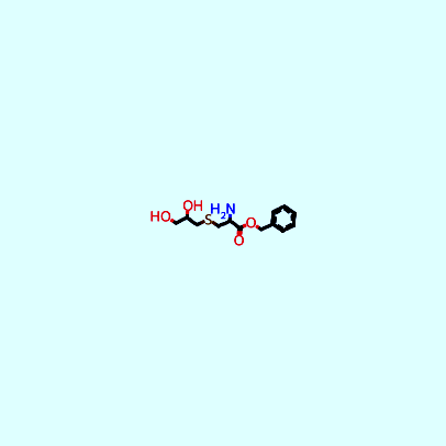 NC(CSCC(O)CO)C(=O)OCc1ccccc1